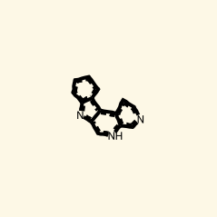 c1ccc2c3c4ccncc4[nH]cc-3nc2c1